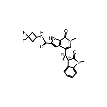 CN1C(=O)[C@@]2(C[C@H]2c2cn(C)c(=O)c3[nH]c(C(=O)NC4CC(F)(F)C4)cc23)c2ccccc21